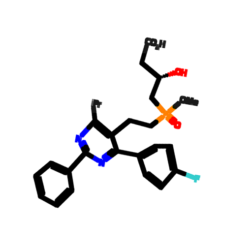 COP(=O)(CCc1c(-c2ccc(F)cc2)nc(-c2ccccc2)nc1C(C)C)C[C@@H](O)CC(=O)O